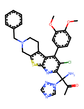 COc1ccc(-c2c(Cl)c(C(N)(C(C)=O)n3cncn3)nc3sc4c(c23)CCN(Cc2ccccc2)C4)cc1OC